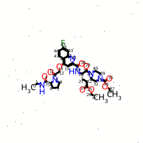 CCNC(=O)[C@@H]1CCCN1C(=O)COc1cc(C(=O)N[C@@H](CCC(=O)OCC)C(=O)N2CCN(C(=O)OCC)CC2)nc2cc(F)ccc12